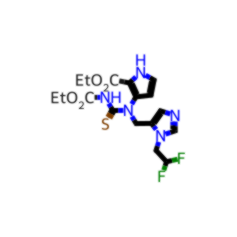 CCOC(=O)NC(=S)N(Cc1cncn1CC(F)F)c1cc[nH]c1C(=O)OCC